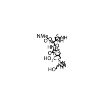 CNC(=O)ON=C(C(=O)NC1C(=O)N2C(C(=O)O)=C(CSc3nnnn3CCO)CS[C@@H]12)c1csc(=N)[nH]1